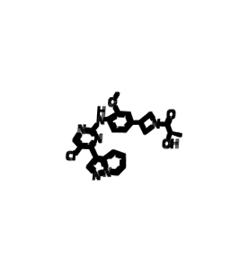 COc1cc(C2CN(C(=O)[C@@H](C)O)C2)ccc1Nc1ncc(Cl)c(-c2cnn3ccccc23)n1